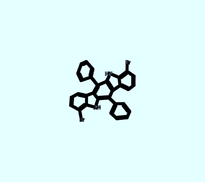 Brc1cccc2c1[nH]c1c(-c3ccccc3)c3c([nH]c4c(Br)cccc43)c(-c3ccccc3)c12